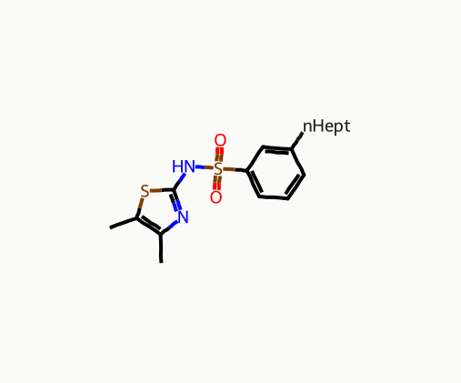 CCCCCCCc1cccc(S(=O)(=O)Nc2nc(C)c(C)s2)c1